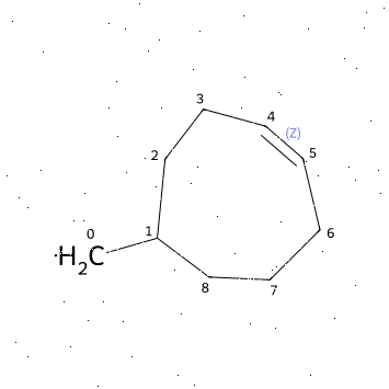 [CH2]C1CC/C=C\CCC1